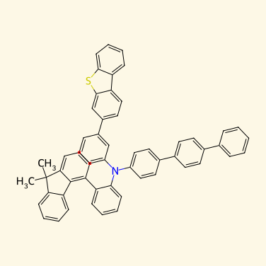 CC1(C)c2ccccc2-c2c(-c3ccccc3N(c3ccc(-c4ccc(-c5ccccc5)cc4)cc3)c3cccc(-c4ccc5c(c4)sc4ccccc45)c3)cccc21